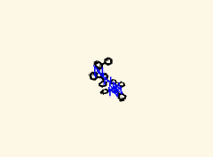 c1ccc(-c2cccc(-n3c4ccccc4c4c5c6ccccc6n(-c6ccc7c8ccccc8n(-c8nc(-c9ccccc9)nc(-c9ccccc9)n8)c7c6)c5ccc43)c2)cc1